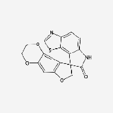 O=C1Nc2ccc3ncsc3c2C12COc1cc3c(cc12)OCCO3